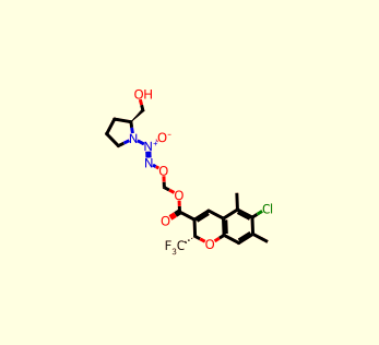 Cc1cc2c(c(C)c1Cl)C=C(C(=O)OCO/N=[N+](\[O-])N1CCC[C@H]1CO)[C@@H](C(F)(F)F)O2